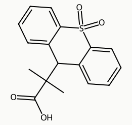 CC(C)(C(=O)O)C1c2ccccc2S(=O)(=O)c2ccccc21